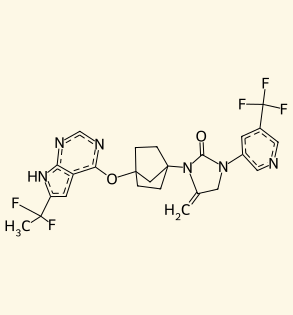 C=C1CN(c2cncc(C(F)(F)F)c2)C(=O)N1C12CCC(Oc3ncnc4[nH]c(C(C)(F)F)cc34)(CC1)C2